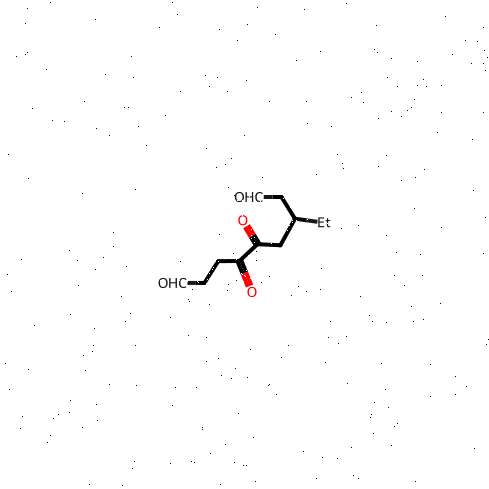 CCC(CC=O)CC(=O)C(=O)CCC=O